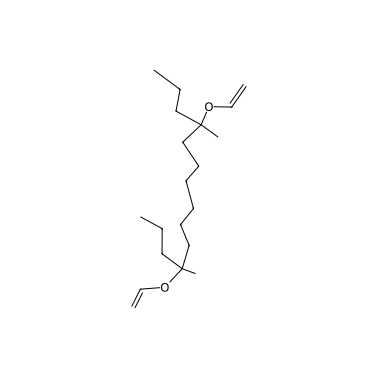 C=COC(C)(CCC)CCCCCCC(C)(CCC)OC=C